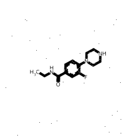 CCNC(=O)c1ccc(N2CCNCC2)c(F)c1